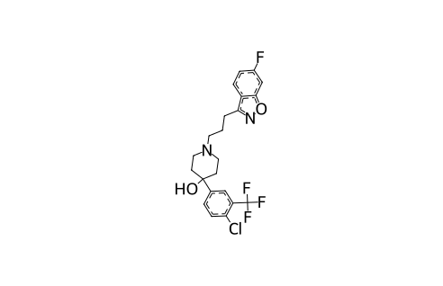 OC1(c2ccc(Cl)c(C(F)(F)F)c2)CCN(CCCc2noc3cc(F)ccc23)CC1